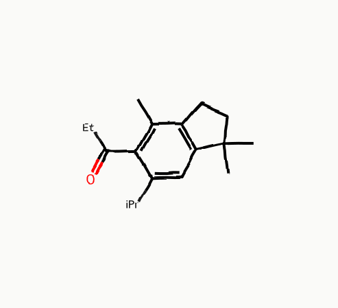 CCC(=O)c1c(C(C)C)cc2c(c1C)CCC2(C)C